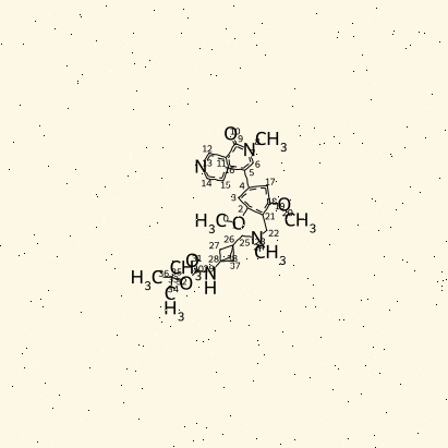 COc1cc(-c2cn(C)c(=O)c3cnccc23)cc(OC)c1CN(C)CC12CC(NC(=O)OC(C)(C)C)(C1)C2